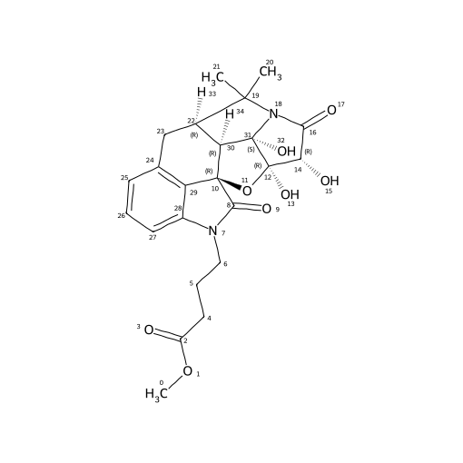 COC(=O)CCCN1C(=O)[C@]23O[C@]4(O)[C@@H](O)C(=O)N5C(C)(C)[C@H](Cc6cccc1c62)[C@H]3[C@@]54O